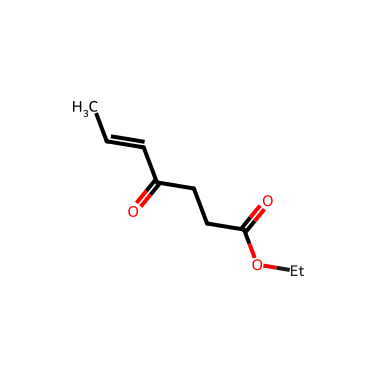 CC=CC(=O)CCC(=O)OCC